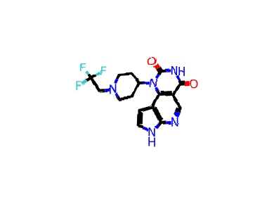 O=c1[nH]c(=O)n(C2CCN(CC(F)(F)F)CC2)c2c1cnc1[nH]ccc12